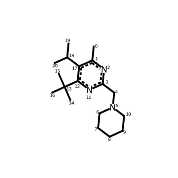 Cc1nc(CN2CCCCC2)nc(C(C)(C)C)c1C(C)C